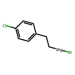 Clc1ccc(C[CH2][Mg][Br])cc1